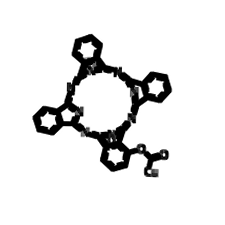 O=[C]([Cu])Oc1cccc2c3nc4nc(nc5[nH]c(nc6nc(nc([nH]3)c12)-c1ccccc1-6)c1ccccc51)-c1ccccc1-4